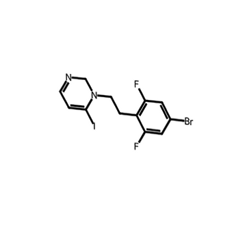 Fc1cc(Br)cc(F)c1CCN1CN=CC=C1I